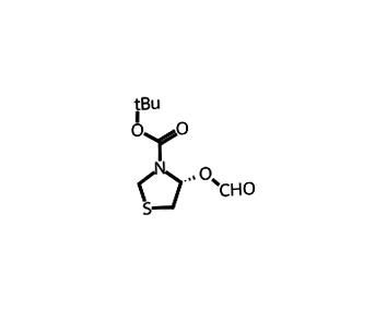 CC(C)(C)OC(=O)N1CSC[C@H]1OC=O